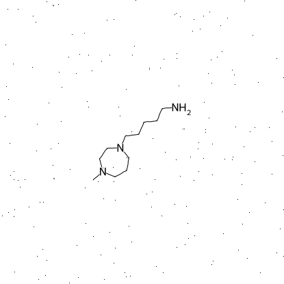 CN1CCCN(CCCCCN)CC1